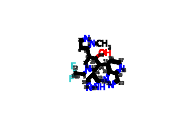 Cn1nccc1C1CN(CC(F)F)CC(c2ccnc3cnn(-c4ccn[nH]4)c23)C1O